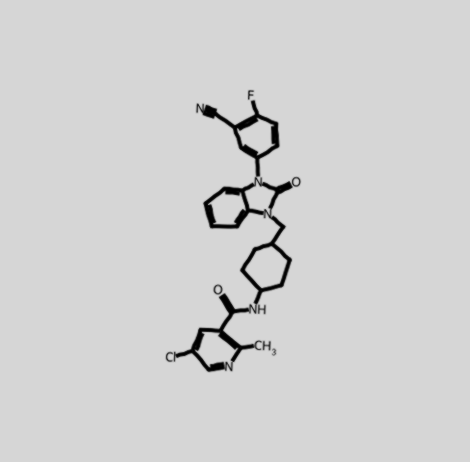 Cc1ncc(Cl)cc1C(=O)NC1CCC(Cn2c(=O)n(-c3ccc(F)c(C#N)c3)c3ccccc32)CC1